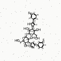 OCC1O[C@@H](S[C@@H]2O[C@H](CO)C(O)C(n3cc(-c4cccc(F)c4)nn3)[C@H]2O)[C@@H](O)C(n2cc(-c3cccc(F)c3)[nH]2)[C@H]1O